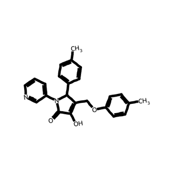 Cc1ccc(OCC2=C(O)C(=O)N(c3cccnc3)C2c2ccc(C)cc2)cc1